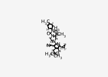 Cc1ccc(NC(=O)N2CCN(c3nc(C4CC4)c4c(c3C#N)CC(C)(C)OC4)CC2C(C)C)cc1